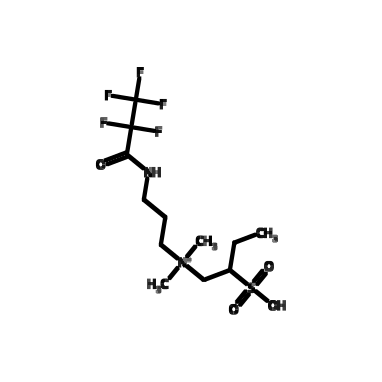 CCC(C[N+](C)(C)CCCNC(=O)C(F)(F)C(F)(F)F)S(=O)(=O)O